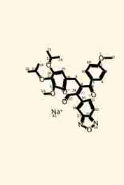 COc1ccc(C(=O)/C(Cc2cc(OC)c(OC(C)C)c(OC(C)C)c2)=C(/C(=O)[O-])c2ccc3nonc3c2)cc1.[Na+]